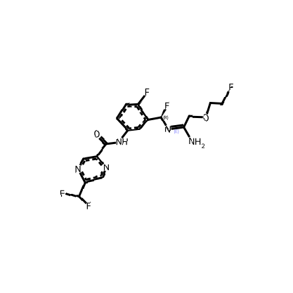 N/C(COCCF)=N/[C@H](F)c1cc(NC(=O)c2cnc(C(F)F)cn2)ccc1F